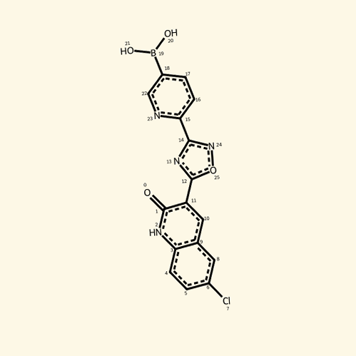 O=c1[nH]c2ccc(Cl)cc2cc1-c1nc(-c2ccc(B(O)O)cn2)no1